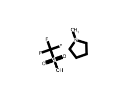 CN1CCCC1.O=S(=O)(O)C(F)(F)F